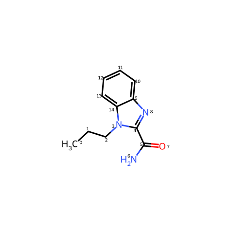 CCCn1c(C(N)=O)nc2ccccc21